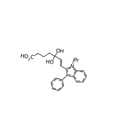 CC(C)n1c(C=CC(O)(O)CCCC(=O)O)c(-c2ccccc2)c2ccccc21